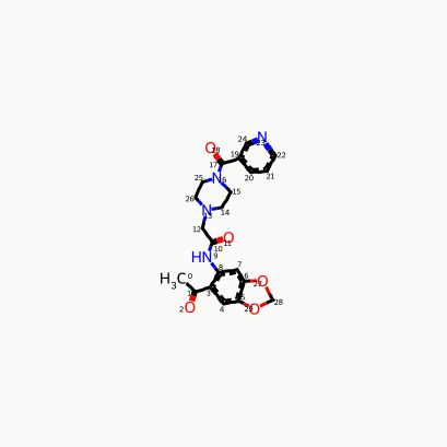 CC(=O)c1cc2c(cc1NC(=O)CN1CCN(C(=O)c3cccnc3)CC1)OCO2